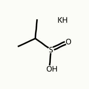 CC(C)S(=O)O.[KH]